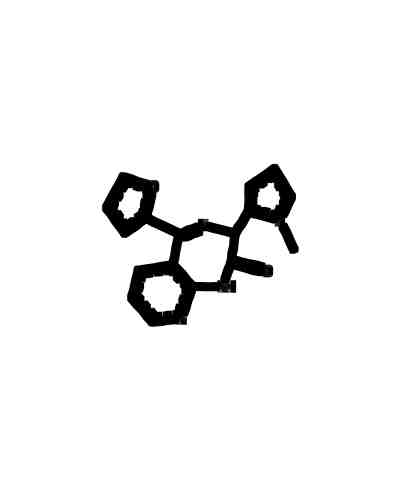 Cn1cccc1C1N=C(c2ccco2)c2cccnc2NC1=O